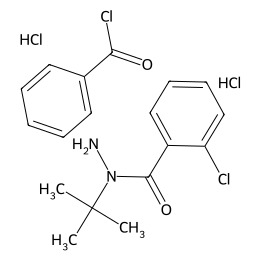 CC(C)(C)N(N)C(=O)c1ccccc1Cl.Cl.Cl.O=C(Cl)c1ccccc1